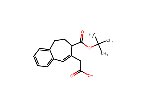 CC(C)(C)OC(=O)C1CCc2ccccc2C=C1CC(=O)O